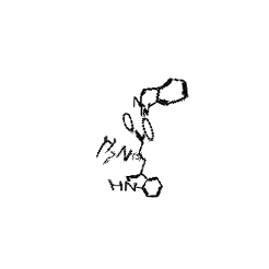 N[C@@H](Cc1c[nH]c2ccccc12)C(=O)On1ncc2ccccc21